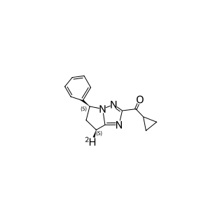 [2H][C@H]1C[C@@H](c2ccccc2)n2nc(C(=O)C3CC3)nc21